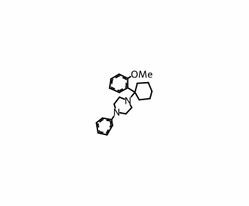 COc1ccccc1C1(N2CCN(c3ccccc3)CC2)CCCCC1